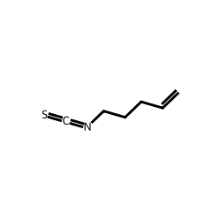 C=CCCCN=C=S